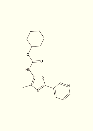 Cc1nc(-c2cccnc2)sc1NC(=O)OC1CCCCC1